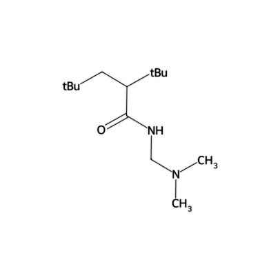 CN(C)CNC(=O)C(CC(C)(C)C)C(C)(C)C